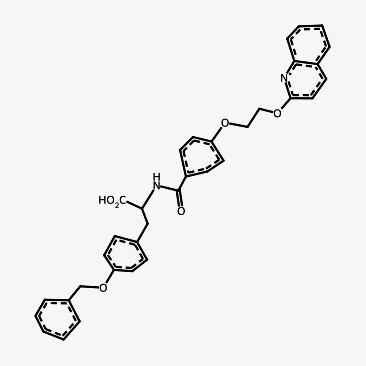 O=C(NC(Cc1ccc(OCc2ccccc2)cc1)C(=O)O)c1ccc(OCCOc2ccc3ccccc3n2)cc1